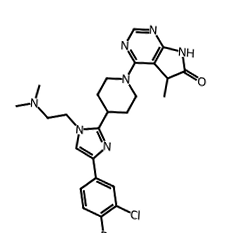 CC1C(=O)Nc2ncnc(N3CCC(c4nc(-c5ccc(F)c(Cl)c5)cn4CCN(C)C)CC3)c21